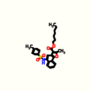 CCCCCCCOC(=O)c1c(C)oc2c1cc(NS(=O)(=O)c1ccc(C)cc1)c1ccccc12